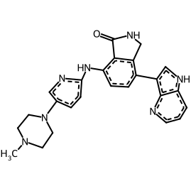 CN1CCN(c2ccc(Nc3ccc(-c4c[nH]c5cccnc45)c4c3C(=O)NC4)nc2)CC1